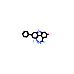 O=C1C=C2C(F)=NNC3=C4C(=NC(=C24)C1)CC(c1ccccc1)C3